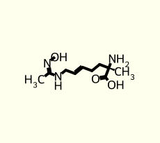 CC(=NO)NCC=CCC[C@](C)(N)C(=O)O